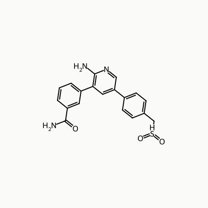 NC(=O)c1cccc(-c2cc(-c3ccc(C[SH](=O)=O)cc3)cnc2N)c1